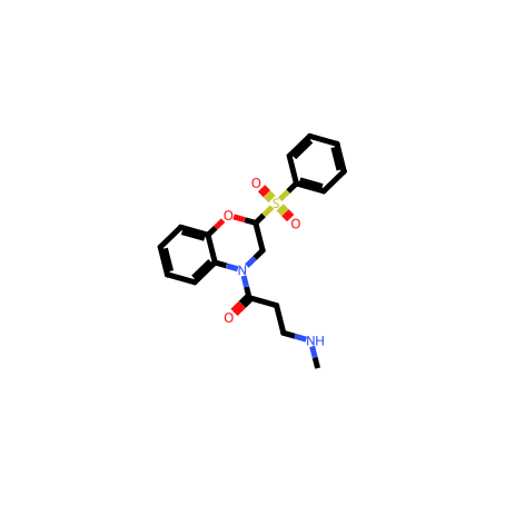 CNCCC(=O)N1CC(S(=O)(=O)c2ccccc2)Oc2ccccc21